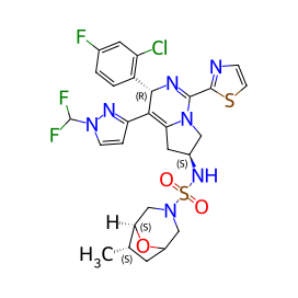 C[C@H]1CC2CN(S(=O)(=O)N[C@H]3CC4=C(c5ccn(C(F)F)n5)[C@H](c5ccc(F)cc5Cl)N=C(c5nccs5)N4C3)C[C@H]1O2